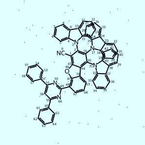 N#Cc1c(-n2c3ccccc3c3ccccc32)c(-n2c3ccccc3c3ccccc32)c(-n2c3ccccc3c3ccccc32)c2c1oc1c(-c3nc(-c4ccccc4)cc(-c4ccccc4)n3)cccc12